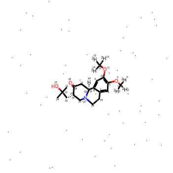 [2H]C([2H])([2H])Oc1cc2c(cc1OC([2H])([2H])[2H])[C@@H]1CC(=O)[C@@H](CC(C)(C)O)CN1CC2